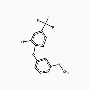 CSc1cccc(Oc2ccc(C(F)(F)F)cc2Cl)c1